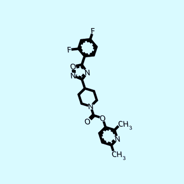 Cc1ccc(OC(=O)N2CCC(c3noc(-c4ccc(F)cc4F)n3)CC2)c(C)n1